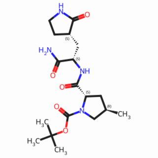 C[C@@H]1C[C@@H](C(=O)N[C@@H](C[C@@H]2CCNC2=O)C(N)=O)N(C(=O)OC(C)(C)C)C1